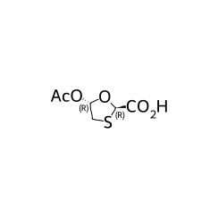 CC(=O)O[C@H]1CS[C@H](C(=O)O)O1